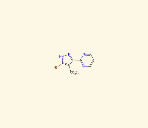 CCOC(=O)c1c(-c2ncccn2)n[nH]c1S